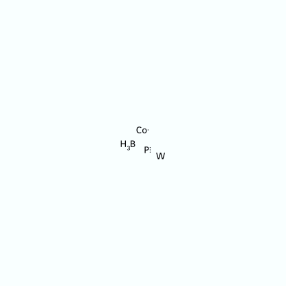 B.[Co].[P].[W]